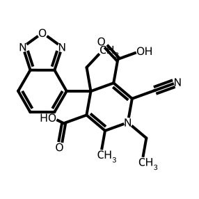 CCN1C(C)=C(C(=O)O)C(CC)(c2cccc3nonc23)C(C(=O)O)=C1C#N